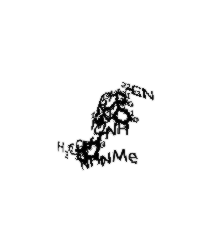 CNCc1cc(C(=O)Nc2cccc([C@]3(c4nncn4C)C[C@@H](CC#N)C3)c2)nc2c1NCC2(C)C